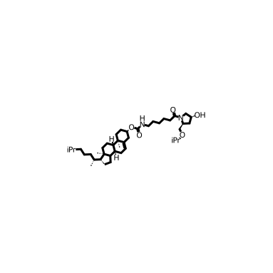 CC(C)CCC[C@@H](C)[C@H]1CCC2[C@@H]3CC=C4C[C@@H](OC(=O)NCCCCCC(=O)N5C[C@H](O)C[C@H]5COC(C)C)CC[C@]4(C)[C@H]3CC[C@@]21C